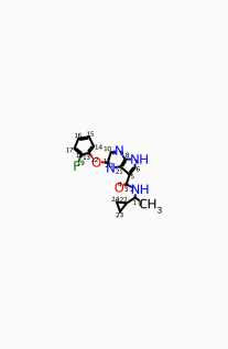 CC(NC(=O)c1c[nH]c2ncc(Oc3ccccc3F)nc12)C1CC1